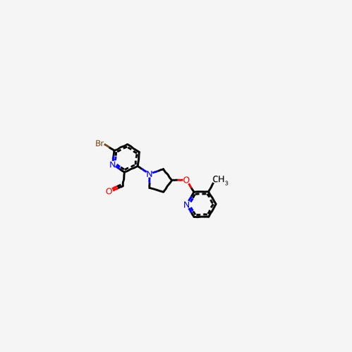 Cc1cccnc1OC1CCN(c2ccc(Br)nc2C=O)C1